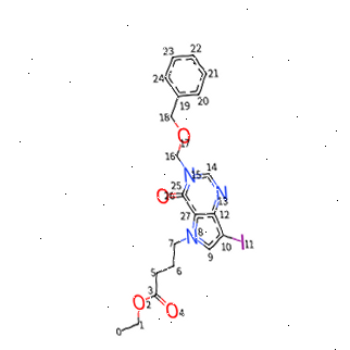 CCOC(=O)CCCn1cc(I)c2ncn(COCc3ccccc3)c(=O)c21